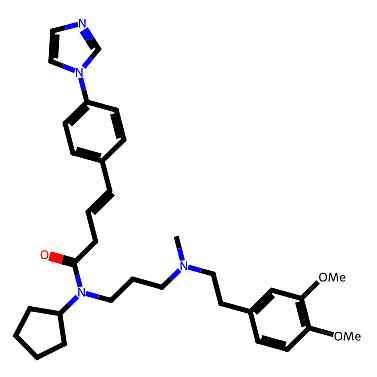 COc1ccc(CCN(C)CCCN(C(=O)C/C=C/c2ccc(-n3ccnc3)cc2)C2CCCC2)cc1OC